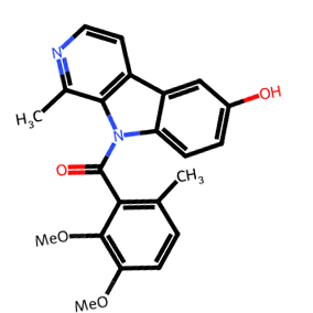 COc1ccc(C)c(C(=O)n2c3ccc(O)cc3c3ccnc(C)c32)c1OC